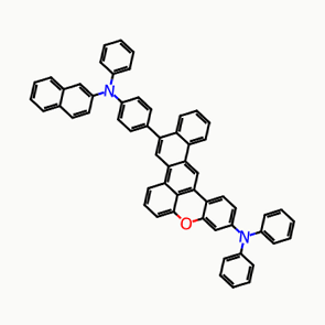 c1ccc(N(c2ccccc2)c2ccc3c(c2)Oc2cccc4c2c-3cc2c3ccccc3c(-c3ccc(N(c5ccccc5)c5ccc6ccccc6c5)cc3)cc42)cc1